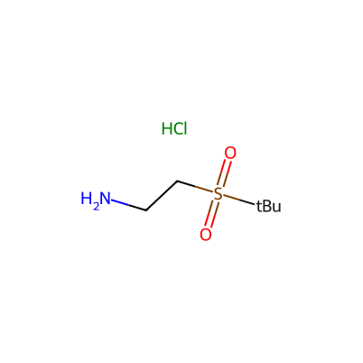 CC(C)(C)S(=O)(=O)CCN.Cl